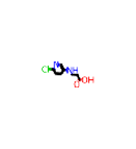 O=C(O)CCNc1ccc(Cl)nc1